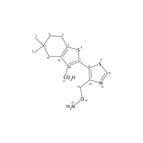 CC1(C)CCc2sc(-c3scnc3CON)c(C(=O)O)c2C1